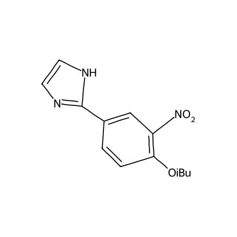 CC(C)COc1ccc(-c2ncc[nH]2)cc1[N+](=O)[O-]